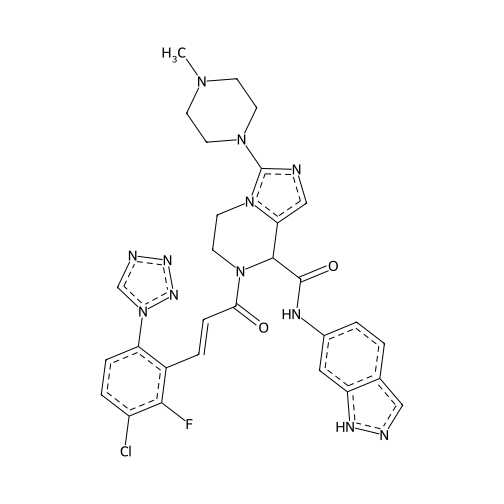 CN1CCN(c2ncc3n2CCN(C(=O)C=Cc2c(-n4cnnn4)ccc(Cl)c2F)C3C(=O)Nc2ccc3cn[nH]c3c2)CC1